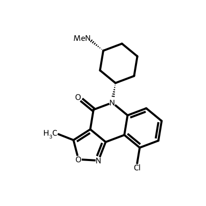 CN[C@@H]1CCC[C@H](n2c(=O)c3c(C)onc3c3c(Cl)cccc32)C1